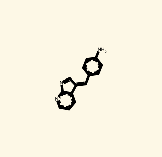 Nc1ccc(C=C2C=Nc3ncccc32)cc1